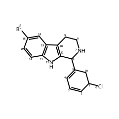 ClC1C=CC=C(C2NCCc3c2[nH]c2ccc(Br)cc32)C1